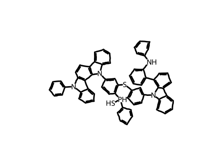 S[PH]1(c2ccccc2)c2ccc(-n3c4ccccc4c4cccc(-c5ccccc5Nc5ccccc5)c43)cc2Sc2cc(-n3c4ccccc4c4ccc5c(c6ccccc6n5-c5ccccc5)c43)ccc21